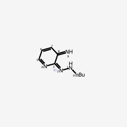 CCCCN/N=C1/N=CC=CC1=N